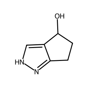 OC1CCc2n[nH]cc21